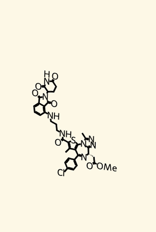 COC(=O)C[C@@H]1N=C(c2ccc(Cl)cc2)c2c(sc(C(=O)NCCCNc3cccc4c3C(=O)N(C3CCC(=O)NC3=O)C4=O)c2C)-n2c(C)nnc21